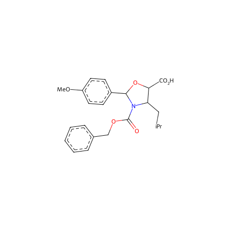 COc1ccc(C2OC(C(=O)O)C(CC(C)C)N2C(=O)OCc2ccccc2)cc1